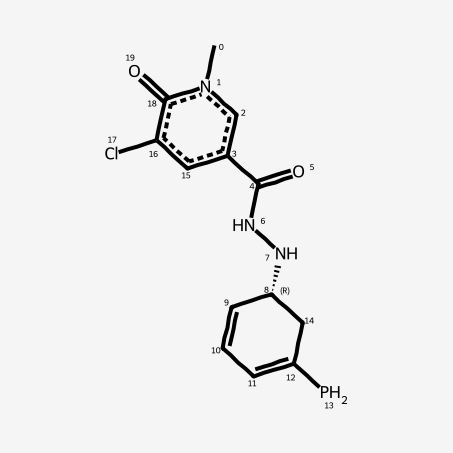 Cn1cc(C(=O)NN[C@H]2C=CC=C(P)C2)cc(Cl)c1=O